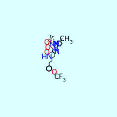 Cc1ccc(-n2nc3c(c2C(=O)N[S+]([O-])C2CC2)C(=O)NC(CCc2cccc(OCC(F)(F)F)c2)C3)nc1